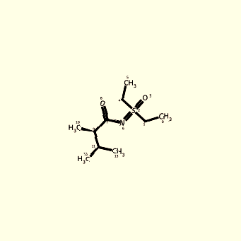 CCS(=O)(CC)=NC(=O)[C@H](C)C(C)C